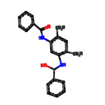 O=C(Nc1cc(NC(O)c2ccccc2)c(C(=O)O)cc1C(=O)O)c1ccccc1